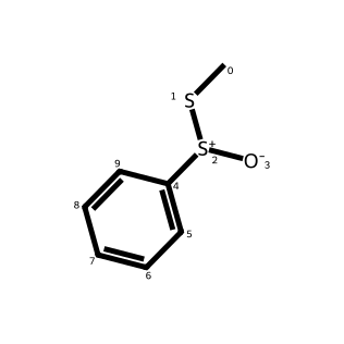 CS[S+]([O-])c1ccccc1